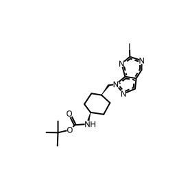 CC(C)(C)OC(=O)N[C@H]1CC[C@@H](Cn2ncc3cnc(I)nc32)CC1